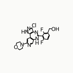 OCc1ccc(F)c(C2=Nc3c(Cl)n[nH]c3-c3cc(N4CCOCC4)ncc3N2)c1F